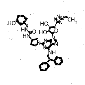 CCn1nnc([C@H]2O[C@@H](n3cnc4c(NCC(c5ccccc5)c5ccccc5)nc(N5CC[C@@H](NC(=O)NCc6cccc(O)c6)C5)nc43)[C@@H](O)[C@@H]2O)n1